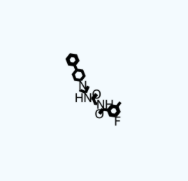 Cc1cc(F)cc(C(=O)NCC(=O)NC2CN(C3CCC(c4ccccc4)CC3)C2)c1